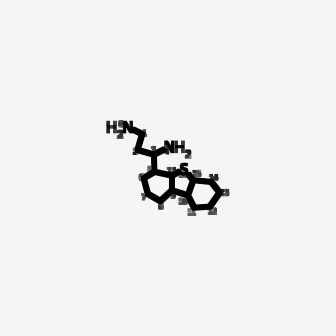 NCCC(N)C1CCCC2C3CCCCC3SC12